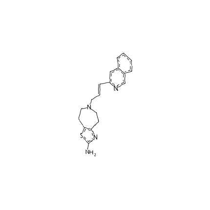 Nc1nc2c(s1)CCN(C/C=C/c1cc3ccccc3cn1)CC2